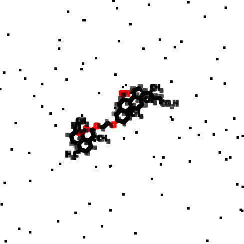 C[C@H]1C(OCCO[C@@H]2CC[C@@]3(C)C(C2)C[C@H](O)C2C3CC[C@@]3(C)C2CC[C@@H]3[C@H](C)CCC(=O)O)OC2O[C@@H](C)[C@@H]3CCC4[C@H](C)CCC1C24O3